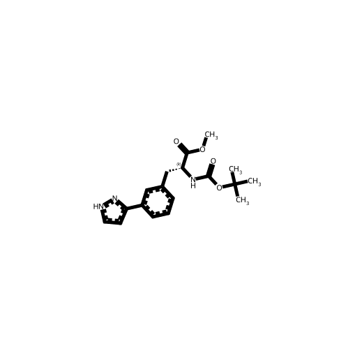 COC(=O)[C@@H](Cc1cccc(-c2cc[nH]n2)c1)NC(=O)OC(C)(C)C